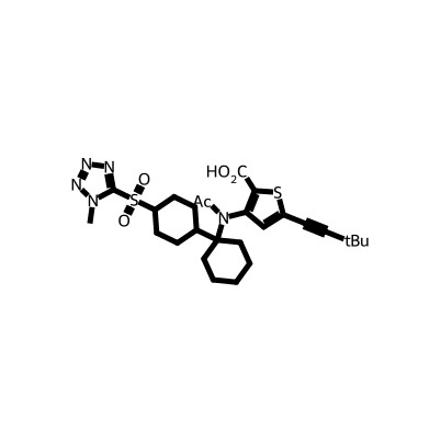 CC(=O)N(c1cc(C#CC(C)(C)C)sc1C(=O)O)C1(C2CCC(S(=O)(=O)c3nnnn3C)CC2)CCCCC1